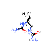 CC=C(CNC(N)=O)NC(N)=O